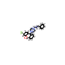 Fc1ccc2c(c1)OCc1ccccc1C2N1CCN(C/C=C/c2ccccc2)CC1